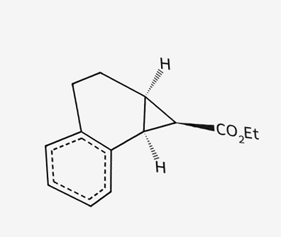 CCOC(=O)[C@@H]1[C@@H]2CCc3ccccc3[C@@H]21